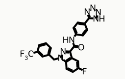 O=C(Nc1ccc(-c2nnn[nH]2)cc1)c1nn(Cc2cccc(C(F)(F)F)c2)c2ccc(F)cc12